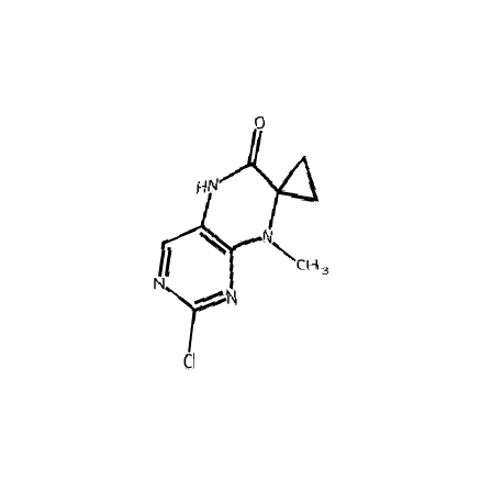 CN1c2nc(Cl)ncc2NC(=O)C12CC2